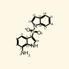 Nc1cccc2c(S(=O)(=O)n3ccc4ccccc43)c[nH]c12